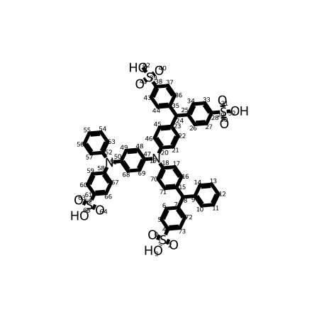 O=S(=O)(O)c1ccc(C(c2ccccc2)c2ccc(N(c3ccc(C(c4ccc(S(=O)(=O)O)cc4)c4ccc(S(=O)(=O)O)cc4)cc3)c3ccc(N(c4ccccc4)c4ccc(S(=O)(=O)O)cc4)cc3)cc2)cc1